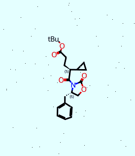 CC(C)(C)OC(=O)CC[C@H](C(=O)N1C(=O)OC[C@@H]1Cc1ccccc1)C1CC1